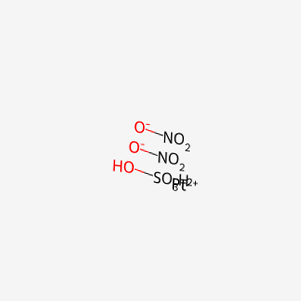 O=S(=O)(O)O.O=[N+]([O-])[O-].O=[N+]([O-])[O-].[Pt+2]